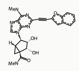 CNC(=O)[C@@]12C[C@@H]1[C@@H](n1cnc3c(NC)nc(C#Cc4cc5ccccc5o4)nc31)[C@H](O)[C@@H]2O